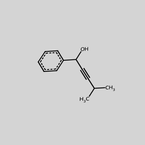 CC(C)C#CC(O)c1ccccc1